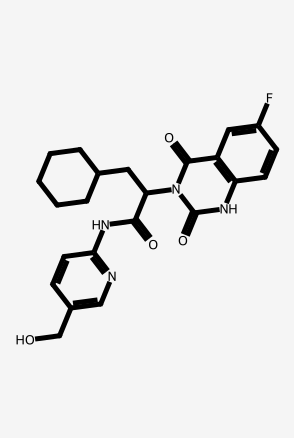 O=C(Nc1ccc(CO)cn1)C(CC1CCCCC1)n1c(=O)[nH]c2ccc(F)cc2c1=O